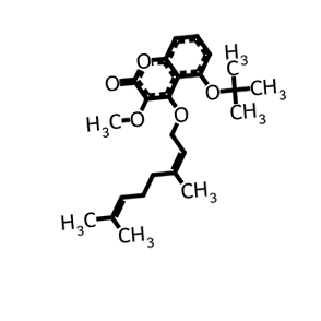 COc1c(OCC=C(C)CCC=C(C)C)c2c(OC(C)(C)C)cccc2oc1=O